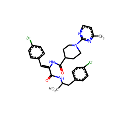 O=C(NC(Cc1ccc(Cl)cc1)C(=O)O)C(=Cc1ccc(Br)cc1)NC(=O)C1CCN(c2nccc(C(F)(F)F)n2)CC1